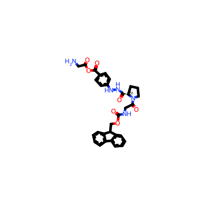 NCC(=O)OC(=O)c1ccc(NNC(=O)[C@@H]2CCCN2C(=O)CNC(=O)OCC2c3ccccc3-c3ccccc32)cc1